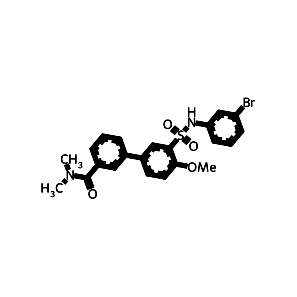 COc1ccc(-c2cccc(C(=O)N(C)C)c2)cc1S(=O)(=O)Nc1cccc(Br)c1